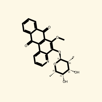 COc1c2c(c3cccnc3c1O[C@@H]1O[C@@H](C)[C@@H](O)[C@@H](O)[C@H]1F)C(=O)c1ccccc1C2=O